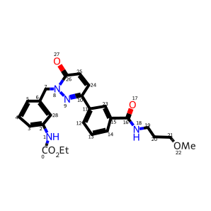 CCOC(=O)Nc1cccc(Cn2nc(-c3cccc(C(=O)NCCCOC)c3)ccc2=O)c1